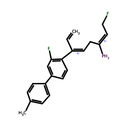 C=C/C(=C\C/C(P)=C\CF)c1ccc(-c2ccc(C)cc2)cc1F